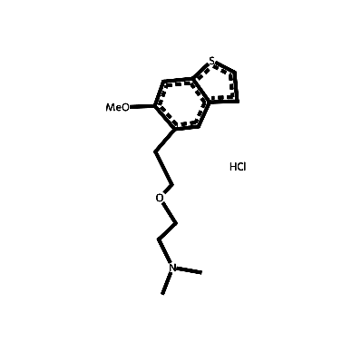 COc1cc2sccc2cc1CCOCCN(C)C.Cl